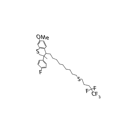 COc1ccc2c(c1)SCC(C)(c1ccc(F)cc1)C2CCCCCCCCCSCCCC(F)(F)C(F)(F)F